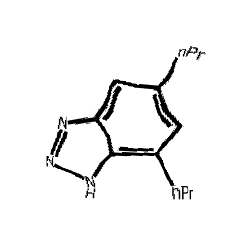 CCCc1cc(CCC)c2[nH]nnc2c1